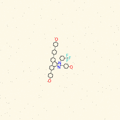 COc1ccc(-c2ccc(-c3ccc4c5ccc(-c6ccc(OC)cc6)cc5c5nc(-c6ccc(OC)cc6)n(-c6cccc(C(F)(F)F)c6)c5c4c3)cc2)cc1